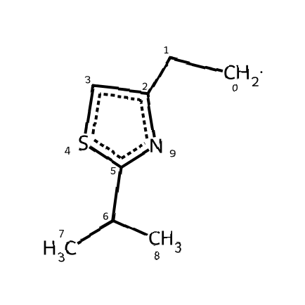 [CH2]Cc1csc(C(C)C)n1